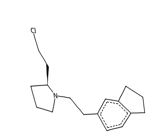 ClCC[C@@H]1CCCN1CCc1ccc2c(c1)CCC2